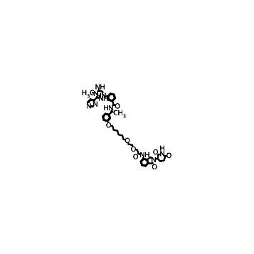 C[C@H](NC(=O)c1cccc(NCC(=N)N(C)C(=N)c2ccncn2)c1)c1cccc(OCCCCCCOCCOCC(=O)Nc2cccc3c2CN(C2CCC(=O)NC2=O)C3=O)c1